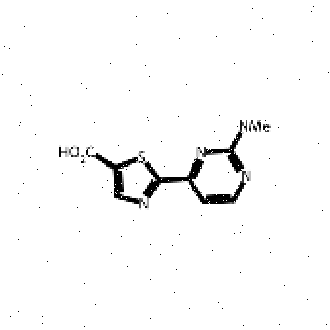 CNc1nccc(-c2ncc(C(=O)O)s2)n1